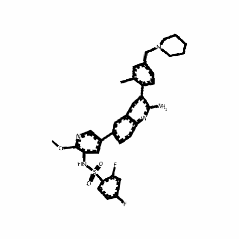 COc1ncc(-c2ccc3nc(N)c(-c4ccc(CN5CCCCC5)cc4C)cc3c2)cc1NS(=O)(=O)c1ccc(F)cc1F